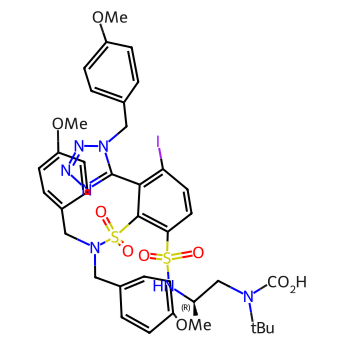 COc1ccc(CN(Cc2ccc(OC)cc2)S(=O)(=O)c2c(S(=O)(=O)N[C@H](C)CN(C(=O)O)C(C)(C)C)ccc(I)c2-c2nnnn2Cc2ccc(OC)cc2)cc1